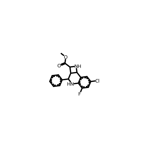 COC(=O)C1NC2c3cc(Cl)cc(F)c3NC(c3ccccc3)C12